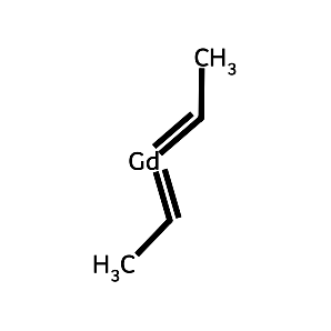 C[CH]=[Gd]=[CH]C